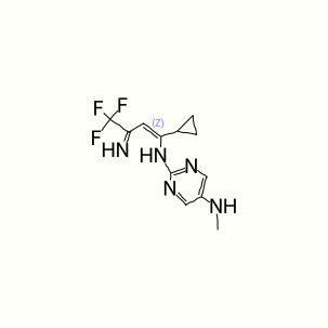 CNc1cnc(N/C(=C\C(=N)C(F)(F)F)C2CC2)nc1